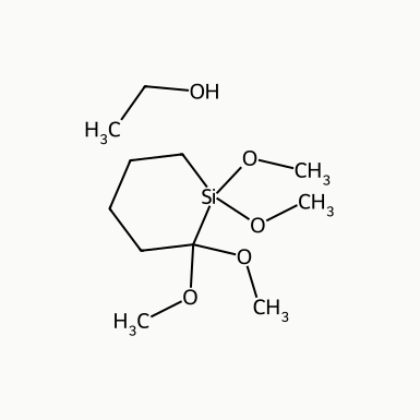 CCO.COC1(OC)CCCC[Si]1(OC)OC